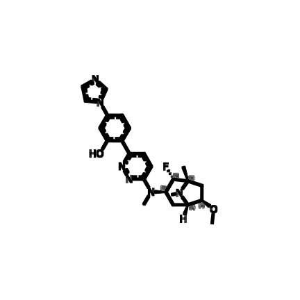 CO[C@@H]1C[C@@]2(C)[C@@H](F)[C@H](N(C)c3ccc(-c4ccc(-n5ccnc5)cc4O)nn3)C[C@@H]1N2C